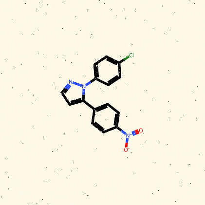 O=[N+]([O-])c1ccc(-c2ccnn2-c2ccc(Cl)cc2)cc1